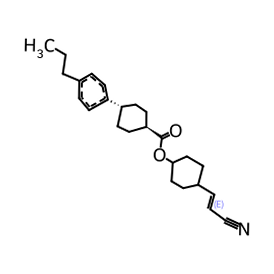 CCCc1ccc([C@H]2CC[C@H](C(=O)OC3CCC(/C=C/C#N)CC3)CC2)cc1